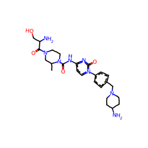 CC1CN(C(=O)C(N)CO)CCN1C(=O)Nc1ccn(-c2ccc(CN3CCC(N)CC3)cc2)c(=O)n1